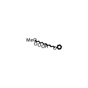 COC(=O)CC(=O)CC(O)C=CC=CCOc1ccccc1